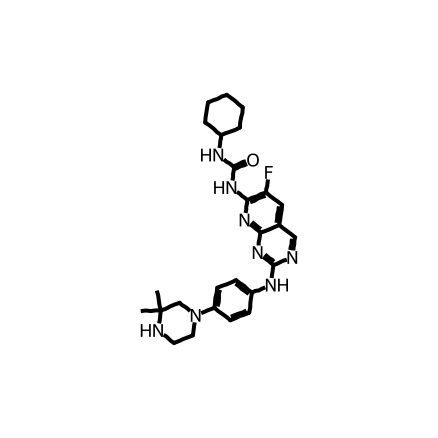 CC1(C)CN(c2ccc(Nc3ncc4cc(F)c(NC(=O)NC5CCCCC5)nc4n3)cc2)CCN1